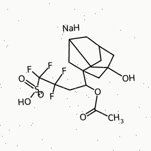 CC(=O)OC(CC(F)(F)C(F)(F)S(=O)(=O)O)C12CC3CC(CC(O)(C3)C1)C2.[NaH]